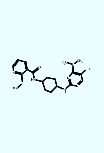 Cc1cnc(NC2CCC(NC(=O)c3cccnc3SC(C)(C)C)CC2)nc1N(C)C